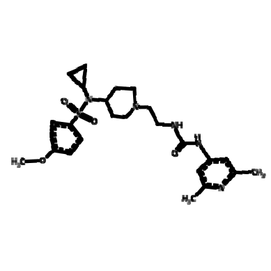 COc1ccc(S(=O)(=O)N(C2CC2)C2CCN(CCNC(=O)Nc3cc(C)nc(C)c3)CC2)cc1